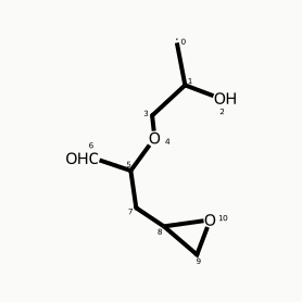 [CH2]C(O)COC(C=O)CC1CO1